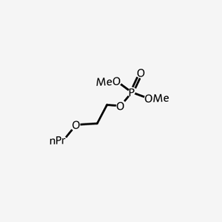 CCCOCCOP(=O)(OC)OC